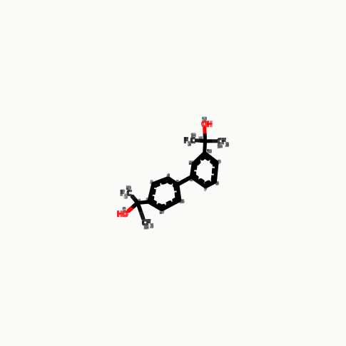 OC(c1ccc(-c2cccc(C(O)(C(F)(F)F)C(F)(F)F)c2)cc1)(C(F)(F)F)C(F)(F)F